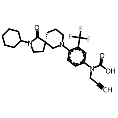 C#CCN(C(=O)O)c1ccc(N2CCC[C@@]3(CCN(C4CCCCC4)C3=O)C2)c(C(F)(F)F)c1